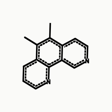 Cc1c(C)c2cccnc2c2cnccc12